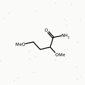 COCCC(OC)C(N)=O